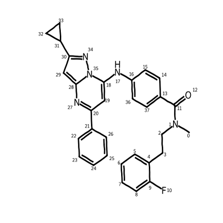 CN(CCc1ccccc1F)C(=O)c1ccc(Nc2cc(-c3ccccc3)nc3cc(C4CC4)nn23)cc1